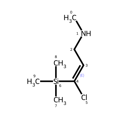 CNC/C=C(/Cl)[Si](C)(C)C